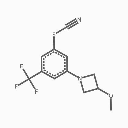 COC1CN(c2cc(SC#N)cc(C(F)(F)F)c2)C1